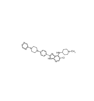 CN1CCC(Nc2c(Cl)cnc3[nH]c(-c4ccc(N5CCN(c6cnccn6)CC5)cc4)nc23)CC1